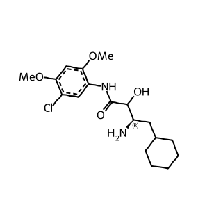 COc1cc(OC)c(NC(=O)C(O)[C@H](N)CC2CCCCC2)cc1Cl